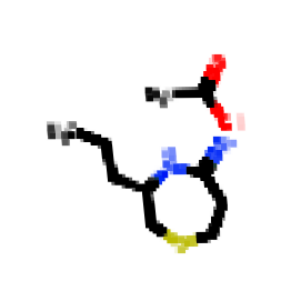 CC(=O)O.CCC[C@@H]1CSCCC(=N)N1